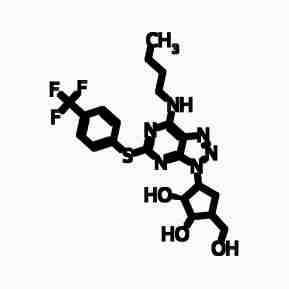 CCCCNc1nc(Sc2ccc(C(F)(F)F)cc2)nc2c1nnn2C1CC(CO)C(O)[C@H]1O